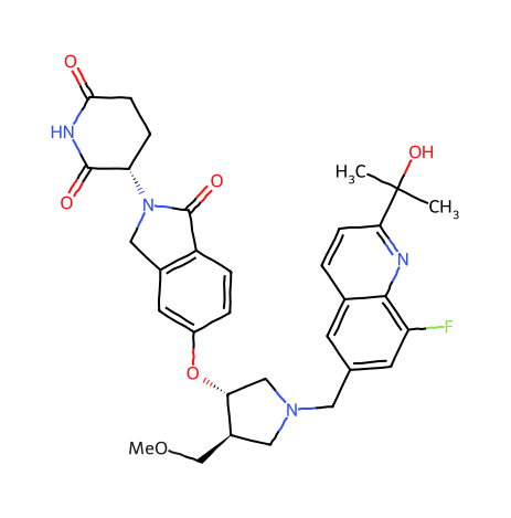 COC[C@@H]1CN(Cc2cc(F)c3nc(C(C)(C)O)ccc3c2)C[C@H]1Oc1ccc2c(c1)CN([C@H]1CCC(=O)NC1=O)C2=O